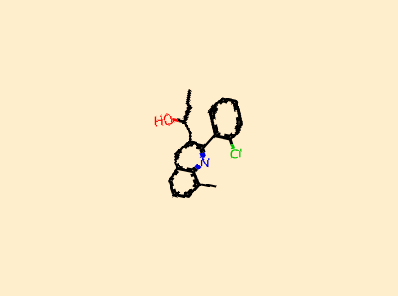 CCC(O)c1cc2cccc(C)c2nc1-c1ccccc1Cl